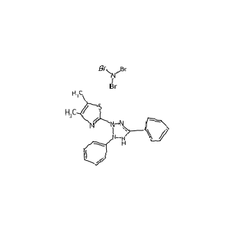 BrN(Br)Br.Cc1nc(N2N=C(c3ccccc3)NN2c2ccccc2)sc1C